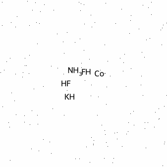 F.F.N.[Co].[KH]